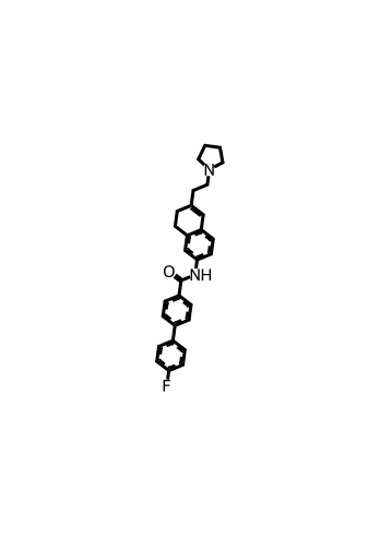 O=C(Nc1ccc2c(c1)CCC(CCN1CCCC1)=C2)c1ccc(-c2ccc(F)cc2)cc1